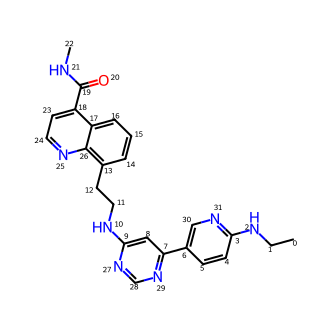 CCNc1ccc(-c2cc(NCCc3cccc4c(C(=O)NC)ccnc34)ncn2)cn1